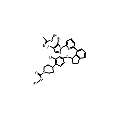 CC(C)OC(=O)Cl.CCc1cc(OC2CCc3cccc(-c4cccc(-n5ncc(C(=O)O)c5CC)n4)c32)ccc1C1CCN(C(=O)OC(C)C)CC1